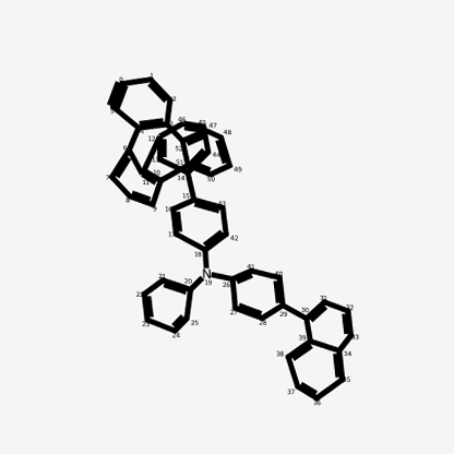 c1ccc2c(c#1)-c1cccc3c1-c1cc(-c4ccc(N(c5ccccc5)c5ccc(-c6cccc7ccccc67)cc5)cc4)ccc1-c1cccc-3c1-2